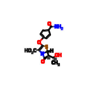 C[C@@H](O)[C@H]1C(=O)N2C(C(=O)O)=C(Oc3ccc(C(N)=O)cc3)S[C@H]12